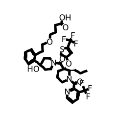 CCC[C@H]1N(C(=O)c2ncccc2C(F)(F)F)CCC[C@@]1(OC1C=C(C(F)(F)F)SC1)C(=O)N1CCC(O)(c2ccccc2CCOCCCC(=O)O)CC1